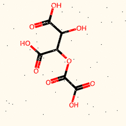 O=C(O)C(=O)OC(C(=O)O)C(O)C(=O)O